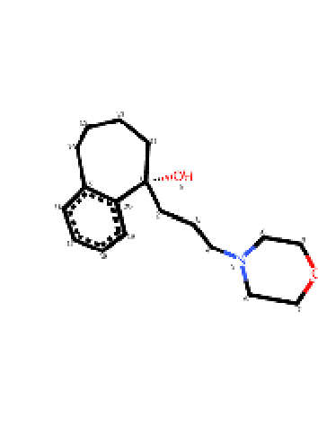 O[C@@]1(CCCN2CCOCC2)CCCCc2ccccc21